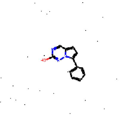 Oc1ncc2ccc(-c3ccccc3)n2n1